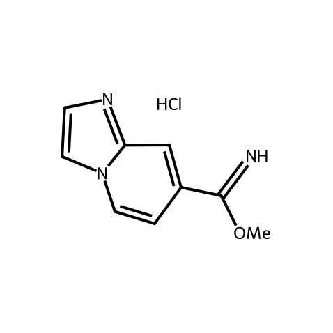 COC(=N)c1ccn2ccnc2c1.Cl